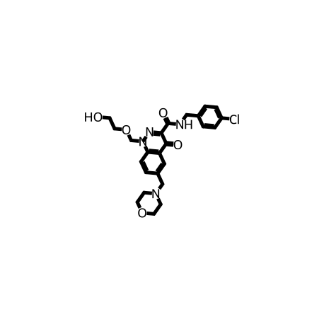 O=C(NCc1ccc(Cl)cc1)c1nn(COCCO)c2ccc(CN3CCOCC3)cc2c1=O